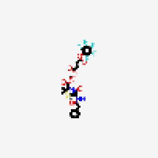 CC1(C)S[C@@H]2[C@H](NC(=O)Cc3ccccc3)C(=O)N2C1C(=O)OCOC(=O)CCC(=O)Oc1c(F)c(F)c(F)c(F)c1F